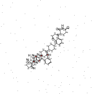 Nc1nnc(-c2ccccc2O)cc1N1C[C@H]2CC[C@@H](C1)N2c1ncc(C2CCN(C3CCC(c4cccc5c4OCCN5C4CCC(=O)NC4=O)CC3)CC2)cn1